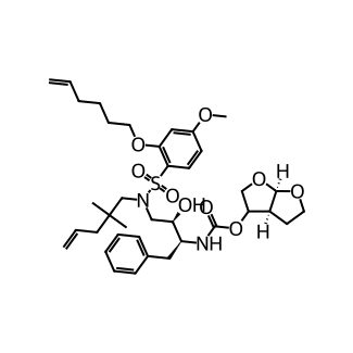 C=CCCCCOc1cc(OC)ccc1S(=O)(=O)N(C[C@@H](O)[C@H](Cc1ccccc1)NC(=O)OC1CO[C@H]2OCC[C@@H]12)CC(C)(C)CC=C